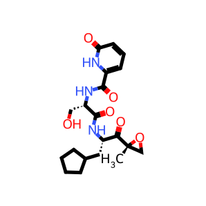 C[C@]1(C(=O)[C@H](CC2CCCC2)NC(=O)[C@H](CO)NC(=O)c2cccc(=O)[nH]2)CO1